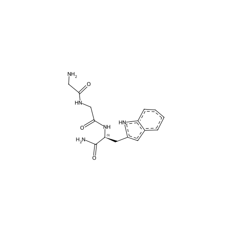 NCC(=O)NCC(=O)N[C@@H](Cc1cc2ccccc2[nH]1)C(N)=O